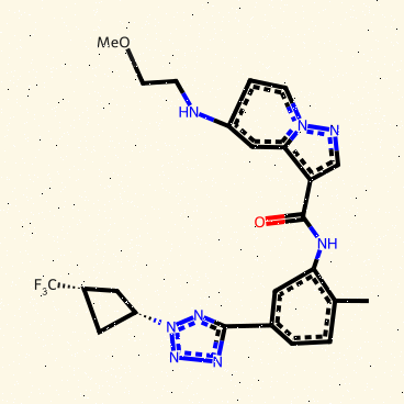 COCCNc1ccn2ncc(C(=O)Nc3cc(-c4nnn([C@H]5C[C@@H](C(F)(F)F)C5)n4)ccc3C)c2c1